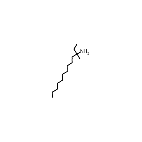 CCCCCCCCCCC(C)(N)CC